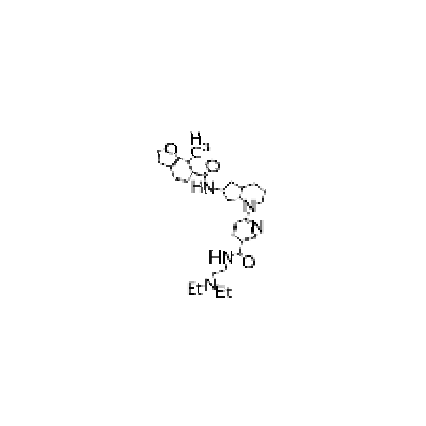 CCN(CC)CCNC(=O)c1ccc(N2CCCC3CC(NC(=O)c4ccc5c(c4C)OCC5)CC32)nc1